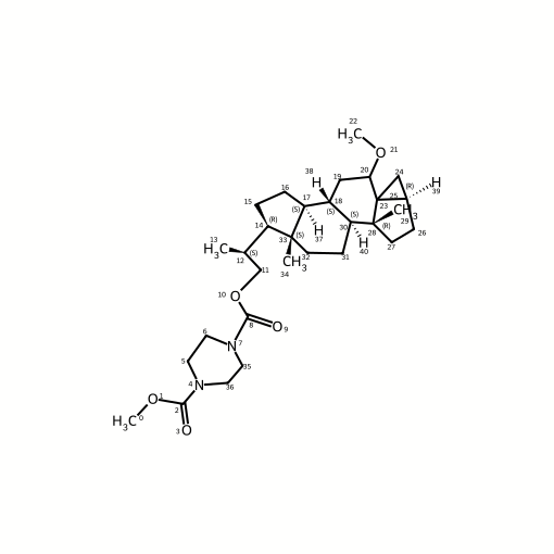 COC(=O)N1CCN(C(=O)OC[C@@H](C)[C@H]2CC[C@H]3[C@@H]4CC(OC)C56C[C@H]5CC[C@]6(C)[C@H]4CC[C@]23C)CC1